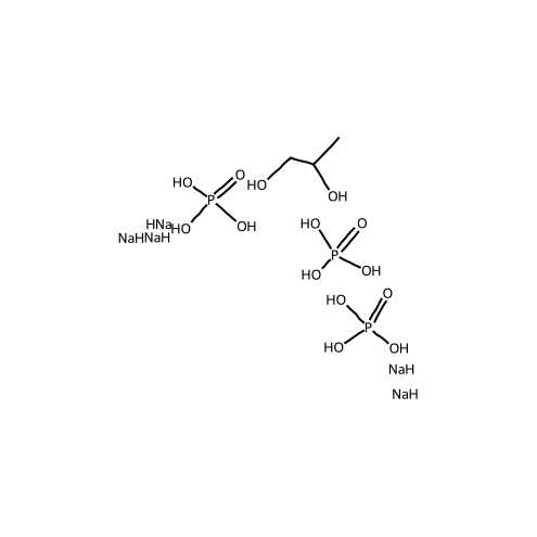 CC(O)CO.O=P(O)(O)O.O=P(O)(O)O.O=P(O)(O)O.[NaH].[NaH].[NaH].[NaH].[NaH]